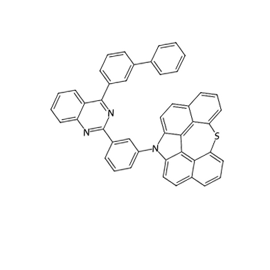 c1ccc(-c2cccc(-c3nc(-c4cccc(-n5c6ccc7cccc8sc9cccc%10ccc5c(c%109)c6c78)c4)nc4ccccc34)c2)cc1